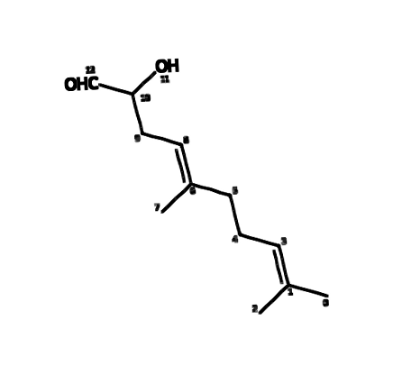 CC(C)=CCC/C(C)=C/CC(O)C=O